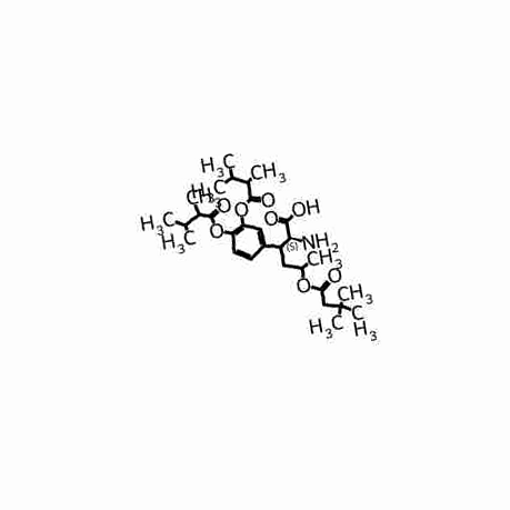 CC(CC(c1ccc(OC(=O)C(C)C(C)C)c(OC(=O)C(C)C(C)C)c1)[C@H](N)C(=O)O)OC(=O)CC(C)(C)C